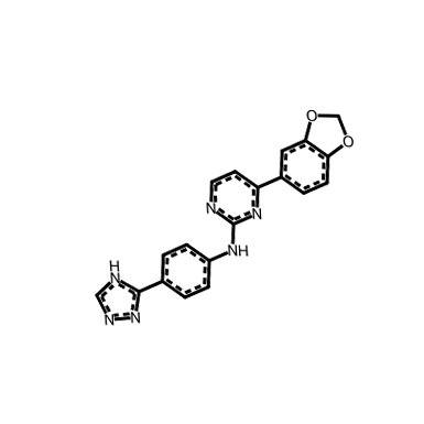 c1cc(-c2ccc3c(c2)OCO3)nc(Nc2ccc(-c3nnc[nH]3)cc2)n1